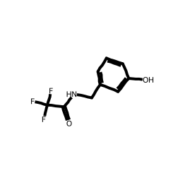 O=C(NCc1cccc(O)c1)C(F)(F)F